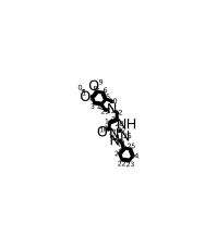 COc1cc2c(cc1OC)CN(Cc1cc(=O)n3nc(-c4ccccc4)nc3[nH]1)C2